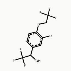 OC(c1ccc(OCC(F)(F)F)c(Cl)c1)C(F)(F)F